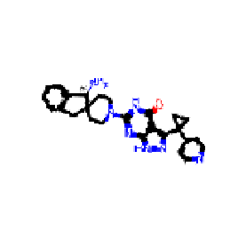 N[C@@H]1c2ccccc2CC12CCN(c1nc3[nH]nc(C4(c5ccncc5)CC4)c3c(=O)[nH]1)CC2